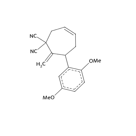 C=C1C(c2cc(OC)ccc2OC)CC=CCC1(C#N)C#N